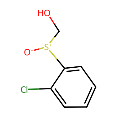 [O-][S+](CO)c1ccccc1Cl